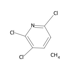 C.Clc1ccc(Cl)c(Cl)n1